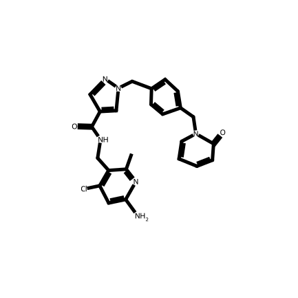 Cc1nc(N)cc(Cl)c1CNC(=O)c1cnn(Cc2ccc(Cn3ccccc3=O)cc2)c1